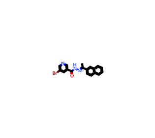 C/C(=N\NC(=O)c1cncc(Br)c1)c1ccc2ccccc2c1